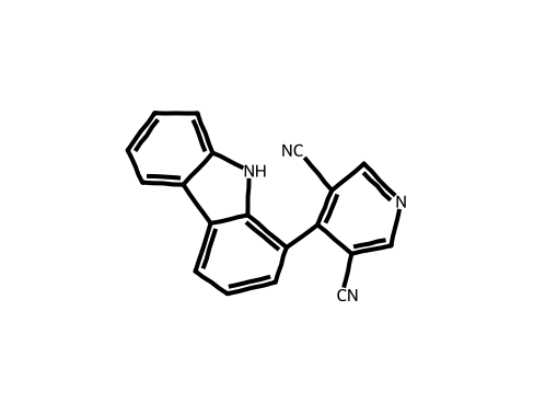 N#Cc1cncc(C#N)c1-c1cccc2c1[nH]c1ccccc12